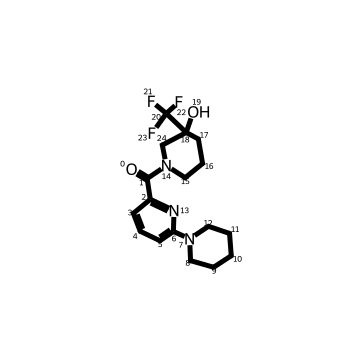 O=C(c1cccc(N2CCCCC2)n1)N1CCCC(O)(C(F)(F)F)C1